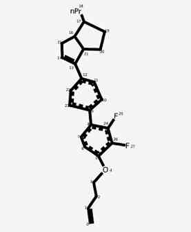 C=CCCOc1ccc(-c2ccc(C3=CCC4C(CCC)CCC34)cc2)c(F)c1F